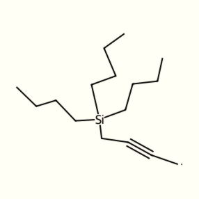 [CH2]C#CC[Si](CCCC)(CCCC)CCCC